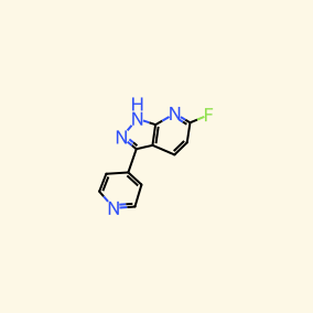 Fc1ccc2c(-c3ccncc3)n[nH]c2n1